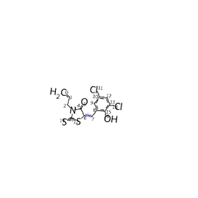 C=CCN1C(=O)/C(=C\c2cc(Cl)cc(Cl)c2O)SC1=S